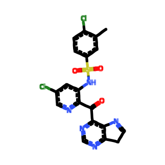 Cc1cc(S(=O)(=O)Nc2cc(Cl)cnc2C(=O)c2ncnc3c2N=CC3)ccc1Cl